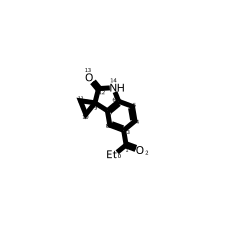 CCC(=O)c1ccc2c(c1)C1(CC1)C(=O)N2